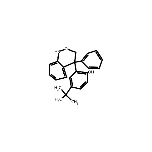 CC(C)(C)c1ccc(O)c(C2(c3ccccc3)CONc3ccccc32)c1